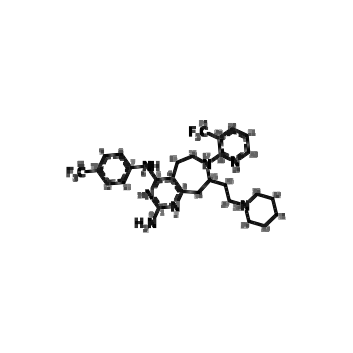 Nc1nc2c(c(Nc3ccc(C(F)(F)F)cc3)n1)CCN(c1ncccc1C(F)(F)F)C(CCN1CCCCC1)C2